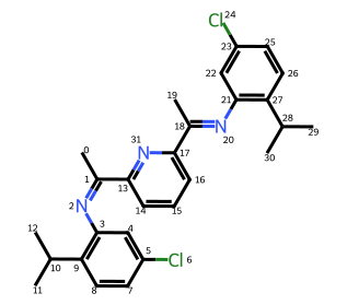 CC(=Nc1cc(Cl)ccc1C(C)C)c1cccc(C(C)=Nc2cc(Cl)ccc2C(C)C)n1